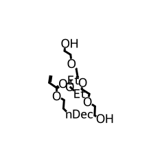 C=CC(=O)OCCCCCCCCCCCC.CCOCC.OCCOCCOCCOCCO